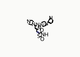 CN1CCN(c2cc(/C=C3/SC(=O)NC3=O)nc(N3CCN(c4cccnc4)CC3)n2)CC1